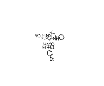 CCc1ccc(C(CC)(CC)NC(=O)c2c(C)nn3c2N[C@@H](c2ccccc2)CC3(C)C)cc1.CS(=O)(=O)O